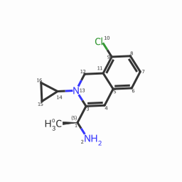 C[C@H](N)C1=Cc2cccc(Cl)c2CN1C1CC1